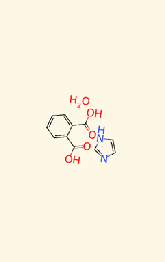 O.O=C(O)c1ccccc1C(=O)O.c1c[nH]cn1